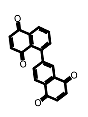 O=C1C=CC(=O)c2cc(-c3cccc4c3C(=O)C=CC4=O)ccc21